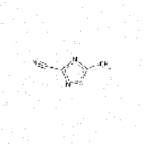 Cc1nc(C#N)ns1